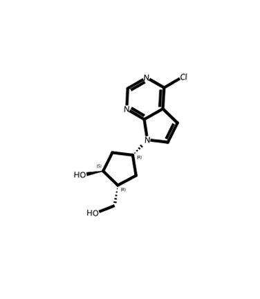 OC[C@H]1C[C@@H](n2ccc3c(Cl)ncnc32)C[C@@H]1O